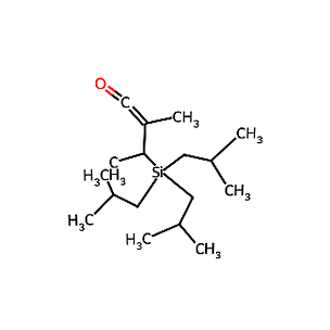 CC(=C=O)C(C)[Si](CC(C)C)(CC(C)C)CC(C)C